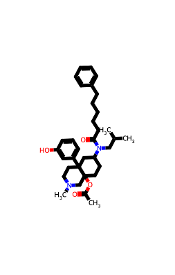 CC(=O)OC12CCC(N(CC(C)C)C(=O)CCCCCc3ccccc3)CC1(c1cccc(O)c1)CCN(C)C2